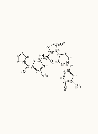 Cc1cc(C(=O)N2CCCC2)cc(NC(=O)[C@H]2CCC(=O)N2C2CCN(Cc3ccc(Cl)c(C)c3)CC2)n1